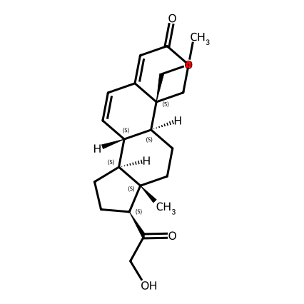 COC[C@]12CCC(=O)C=C1C=C[C@@H]1[C@@H]2CC[C@]2(C)[C@@H](C(=O)CO)CC[C@@H]12